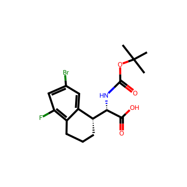 CC(C)(C)OC(=O)N[C@H](C(=O)O)[C@@H]1CCCc2c(F)cc(Br)cc21